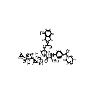 CC[C@@H]1C[C@]1(NC(=O)[C@@H]1C[C@@H](OC(=O)N2Cc3cccc(F)c3C2)CN1C(=O)[C@@H](Nc1ccc(C(=O)N2CCOCC2)cc1)C(C)(C)C)C(=O)NS(=O)(=O)C1CC1